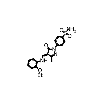 CCOc1ccccc1NC=C1C(=O)N(c2ccc(S(N)(=O)=O)cc2)N=C1C